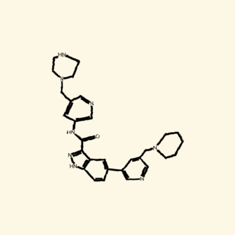 O=C(Nc1cncc(CN2CCNCC2)c1)c1n[nH]c2ccc(-c3cncc(CN4CCCCC4)c3)cc12